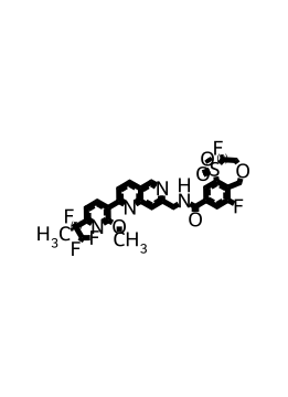 COc1nc([C@@](C)(F)C(F)F)ccc1-c1ccc2cnc(CNC(=O)c3cc(F)c4c(c3)S(=O)(=O)[C@@H](F)COC4)cc2n1